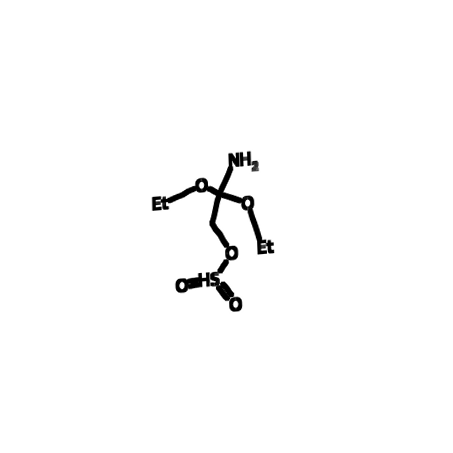 CCOC(N)(CO[SH](=O)=O)OCC